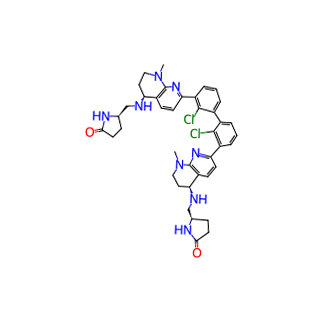 CN1CC[C@H](NC[C@H]2CCC(=O)N2)c2ccc(-c3cccc(-c4cccc(-c5ccc6c(n5)N(C)CC[C@@H]6NC[C@H]5CCC(=O)N5)c4Cl)c3Cl)nc21